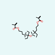 C=C(C)C(=O)OCCCC(C)(CC)[Si](C)(C)OC(CC)(CC)[Si](C)(C)CCCOC(=O)C(=C)C